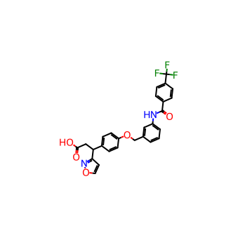 O=C(O)CC(c1ccc(OCc2cccc(NC(=O)c3ccc(C(F)(F)F)cc3)c2)cc1)c1ccon1